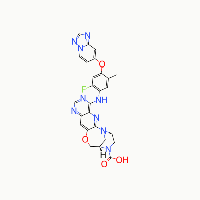 Cc1cc(Nc2ncnc3cc4c(nc23)N2CCN(C(=O)O)[C@H](CO4)C2)c(F)cc1Oc1ccn2ncnc2c1